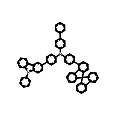 c1ccc(-c2ccc(N(c3ccc(-c4ccc5c(c4)c4ccccc4n5-c4ccccc4)cc3)c3ccc(-c4cccc5c4-c4ccccc4C54c5ccccc5-c5ccccc54)cc3)cc2)cc1